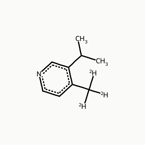 [2H]C([2H])([2H])c1ccncc1C(C)C